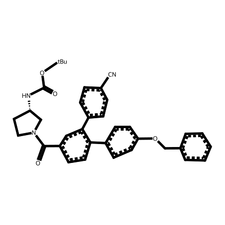 CC(C)(C)OC(=O)N[C@H]1CCN(C(=O)c2ccc(-c3ccc(OCc4ccccc4)cc3)c(-c3ccc(C#N)cc3)c2)C1